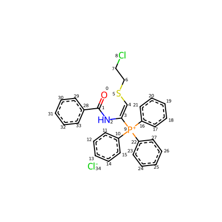 O=C(NC(=CSCCCl)[P+](c1ccccc1)(c1ccccc1)c1ccccc1)c1ccccc1.[Cl-]